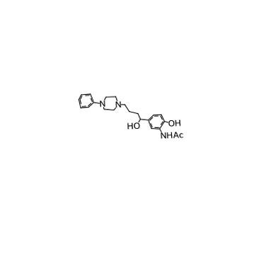 CC(=O)Nc1cc(C(O)CCCN2CCN(c3ccccc3)CC2)ccc1O